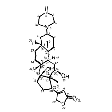 C[C@]12CCC(N3CCNCC3)C[C@H]1CC[C@@H]1[C@@H]2C[C@@H](O)[C@]2(C)[C@@H](C3=CC(=O)OC3)CC[C@]12O